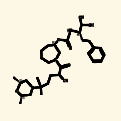 C[C@@H]1CN(C(C)(C)CCC(C#N)C(=O)N2CCCC[C@@H](OC(=O)N[C@@H](CCc3ccccc3)B(O)O)C2)C[C@H](C)O1